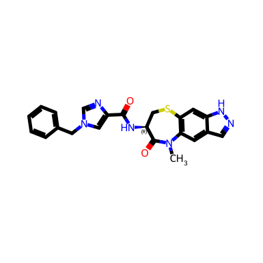 CN1C(=O)[C@@H](NC(=O)c2cn(Cc3ccccc3)cn2)CSc2cc3[nH]ncc3cc21